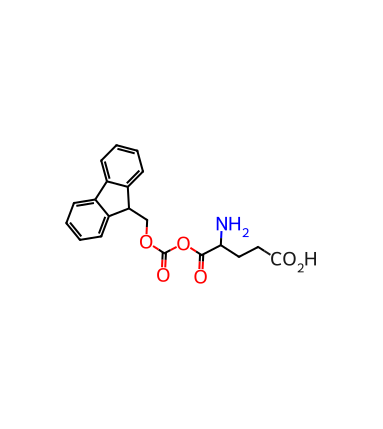 NC(CCC(=O)O)C(=O)OC(=O)OCC1c2ccccc2-c2ccccc21